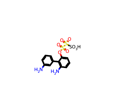 Nc1cccc(-c2c(N)cccc2OS(=O)(=O)S(=O)(=O)S(=O)(=O)O)c1